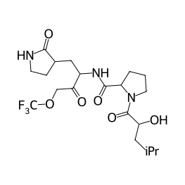 CC(C)CC(O)C(=O)N1CCCC1C(=O)NC(CC1CCNC1=O)C(=O)COC(F)(F)F